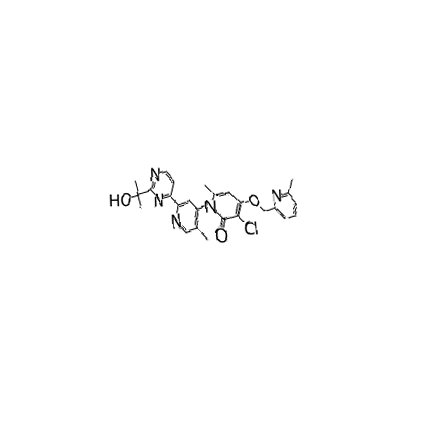 Cc1cccc(COc2cc(C)n(-c3cc(-c4ccnc(C(C)(C)O)n4)ncc3C)c(=O)c2Cl)n1